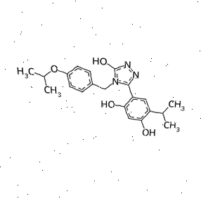 CC(C)Oc1ccc(Cn2c(O)nnc2-c2cc(C(C)C)c(O)cc2O)cc1